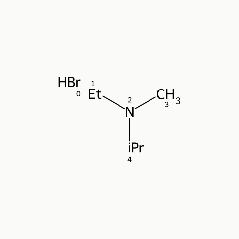 Br.CCN(C)C(C)C